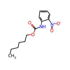 CCCCCCOC(=O)Nc1ccccc1[N+](=O)[O-]